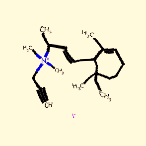 C#CC[N+](C)(C)C(C)C=CC1C(C)=CCCC1(C)C.[I-]